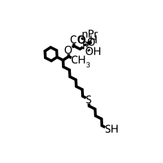 CCCOP(=O)(O)CC(OC(C)C(CCCCCCCSCCCCCS)C1CCCCC1)C(=O)O